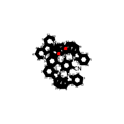 N#Cc1c(-n2c3ccccc3c3ccccc32)c(-n2c3ccccc3c3ccccc32)c(-c2cccc3c2-c2ccccc2C32c3ncccc3-c3cccnc32)c(-n2c3ccccc3c3ccccc32)c1-n1c2ccccc2c2ccccc21